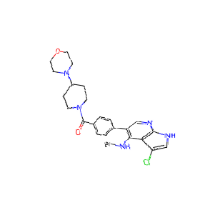 CC(C)Nc1c(-c2ccc(C(=O)N3CCC(N4CCOCC4)CC3)cc2)cnc2[nH]cc(Cl)c12